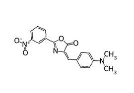 CN(C)c1ccc(C=C2N=C(c3cccc([N+](=O)[O-])c3)OC2=O)cc1